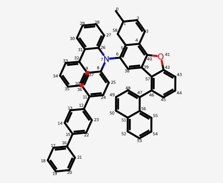 CC1C=Cc2c(c(N(c3ccc(-c4ccc(-c5ccccc5)cc4)cc3)c3ccccc3-c3ccccc3)cc3c2oc2cccc(-c4cccc5ccccc45)c23)C1